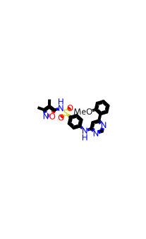 COc1ccccc1-c1cc(Nc2ccc(S(=O)(=O)Nc3onc(C)c3C)cc2)ncn1